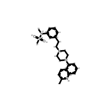 Cc1ccc2c(N3CCN(CCc4cccc(N(C)S(C)(=O)=O)c4)CC3)cccc2n1